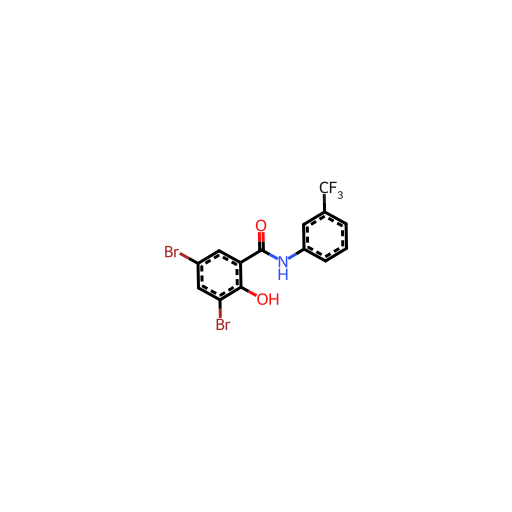 O=C(Nc1cccc(C(F)(F)F)c1)c1cc(Br)cc(Br)c1O